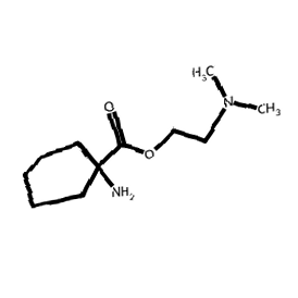 CN(C)CCOC(=O)C1(N)CCCCC1